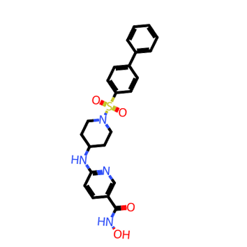 O=C(NO)c1ccc(NC2CCN(S(=O)(=O)c3ccc(-c4ccccc4)cc3)CC2)nc1